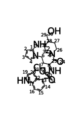 Nc1cccn1CCC(NS(=O)(=O)c1cccc2[nH]cc(Cl)c12)C(=O)N1CCC(CO)CC1